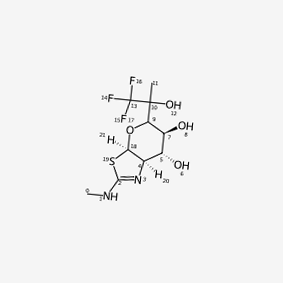 CNC1=N[C@@H]2[C@@H](O)[C@H](O)C(C(C)(O)C(F)(F)F)O[C@@H]2S1